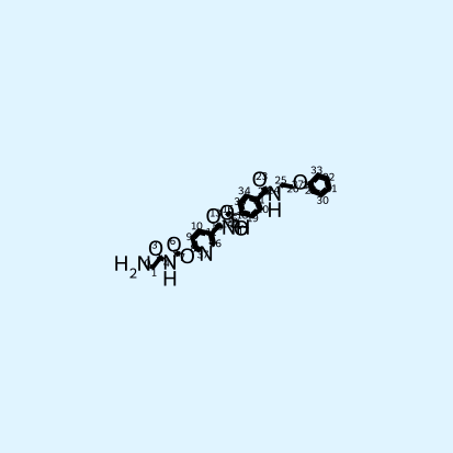 NCC(=O)NC(=O)Oc1ccc(C(=O)NS(=O)(=O)c2ccc(C(=O)NCCOc3ccccc3)cc2)cn1